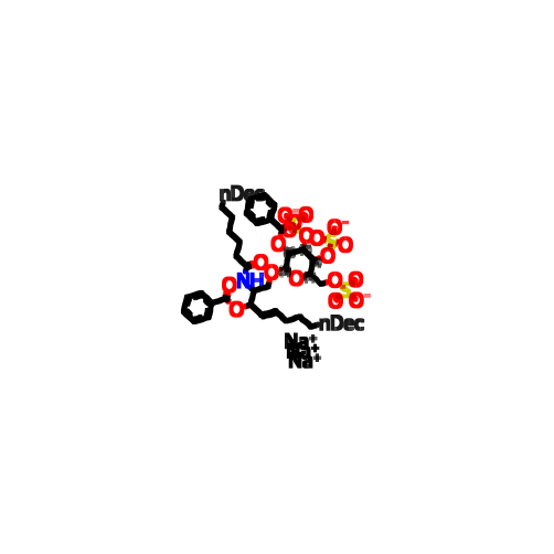 CCCCCCCCCCCCCC=CC(OC(=O)c1ccccc1)C(CO[C@H]1O[C@H](COS(=O)(=O)[O-])[C@H](OS(=O)(=O)[O-])[C@H](OS(=O)(=O)[O-])[C@H]1OC(=O)c1ccccc1)NC(=O)CCCCCCCCCCCCCCC.[Na+].[Na+].[Na+]